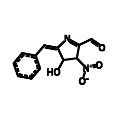 O=CC1=NC(=Cc2ccccc2)C(O)C1[N+](=O)[O-]